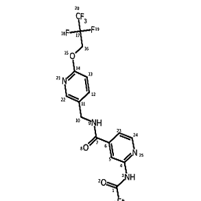 CCC(=O)Nc1cc(C(=O)NCc2ccc(OCC(F)(F)C(F)(F)F)nc2)ccn1